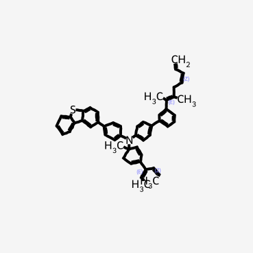 C=C/C=C\C/C(C)=C(\C)c1cccc(-c2ccc(N(c3ccc(-c4ccc5sc6ccccc6c5c4)cc3)C3(C)C=CC(C(/C=C\C)=C/C)=CC3)cc2)c1